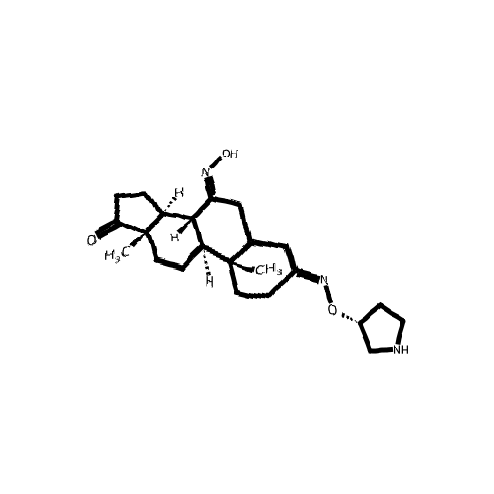 C[C@]12CCC(=NO[C@@H]3CCNC3)CC1CC(=NO)[C@@H]1[C@@H]2CC[C@]2(C)C(=O)CC[C@@H]12